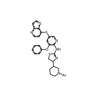 CC(=O)N1CCCC(C2CSC(Nc3ncc(Sc4ccnc5ccsc45)cc3Oc3ccccc3)=N2)C1